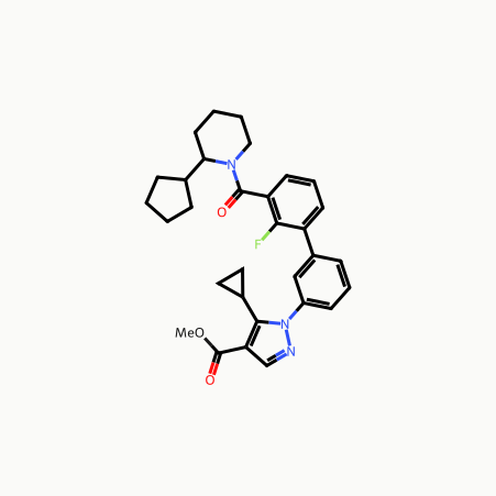 COC(=O)c1cnn(-c2cccc(-c3cccc(C(=O)N4CCCCC4C4CCCC4)c3F)c2)c1C1CC1